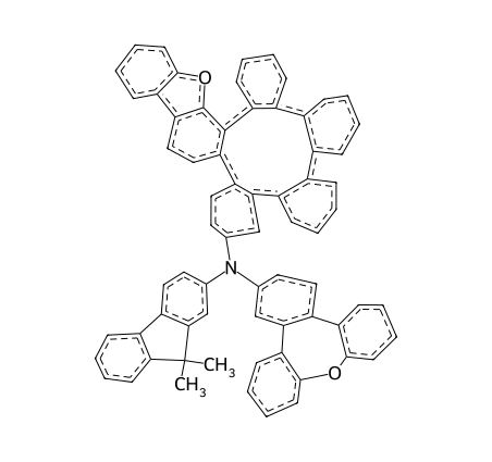 CC1(C)c2ccccc2-c2ccc(N(c3ccc4c(c3)-c3ccccc3Oc3ccccc3-4)c3ccc4c(c3)c3ccccc3c3ccccc3c3ccccc3c3c4ccc4c5ccccc5oc43)cc21